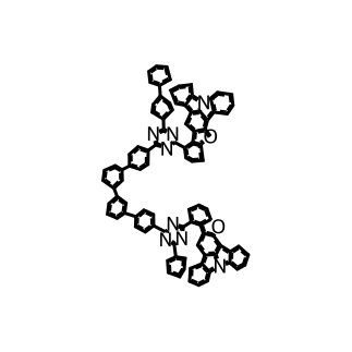 c1ccc(-c2ccc(-c3nc(-c4ccc(-c5cccc(-c6cccc(-c7ccc(-c8nc(-c9ccccc9)nc(-c9cccc%10oc%11c(cc%12c%13ccccc%13n%13c%14ccccc%14c%11c%12%13)c9%10)n8)cc7)c6)c5)cc4)nc(-c4cccc5oc6c(cc7c8ccccc8n8c9ccccc9c6c78)c45)n3)cc2)cc1